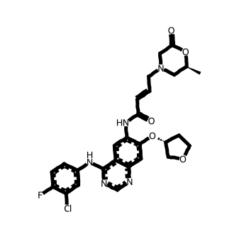 C[C@H]1CN(C/C=C/C(=O)Nc2cc3c(Nc4ccc(F)c(Cl)c4)ncnc3cc2O[C@@H]2CCOC2)CC(=O)O1